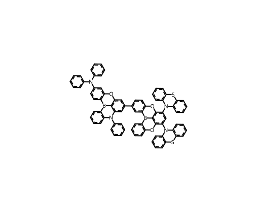 c1ccc(N(c2ccccc2)c2ccc3c(c2)Oc2cc(-c4ccc5c(c4)B4c6ccccc6Oc6c(N7c8ccccc8Sc8ccccc87)cc(N7c8ccccc8Sc8ccccc87)c(c64)O5)cc4c2B3c2ccccc2N4c2ccccc2)cc1